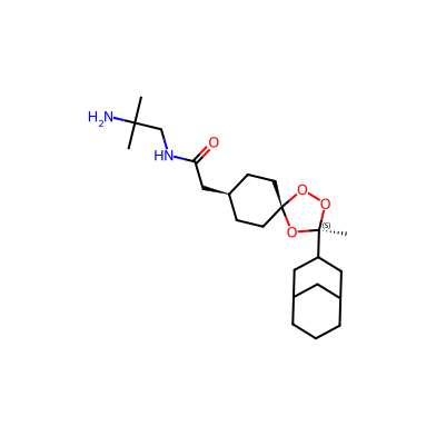 CC(C)(N)CNC(=O)C[C@H]1CC[C@@]2(CC1)OO[C@@](C)(C1CC3CCCC(C3)C1)O2